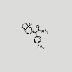 Cc1ccc(C(C(N)=O)N2CCN3CCC[C@@H]3C2)nc1